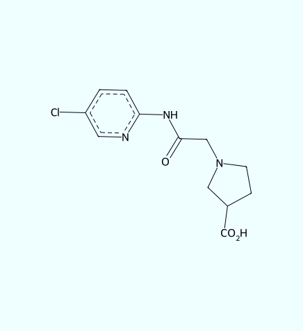 O=C(CN1CCC(C(=O)O)C1)Nc1ccc(Cl)cn1